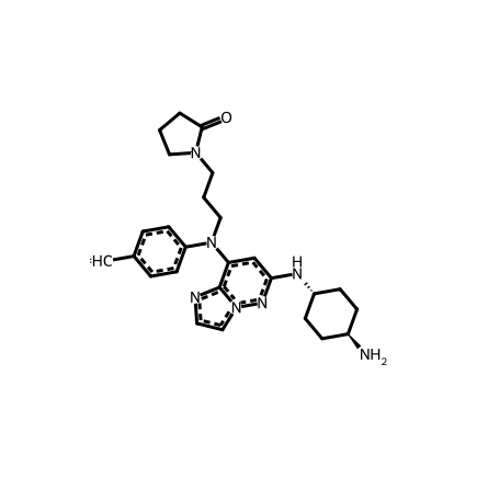 [CH]c1ccc(N(CCCN2CCCC2=O)c2cc(N[C@H]3CC[C@H](N)CC3)nn3ccnc23)cc1